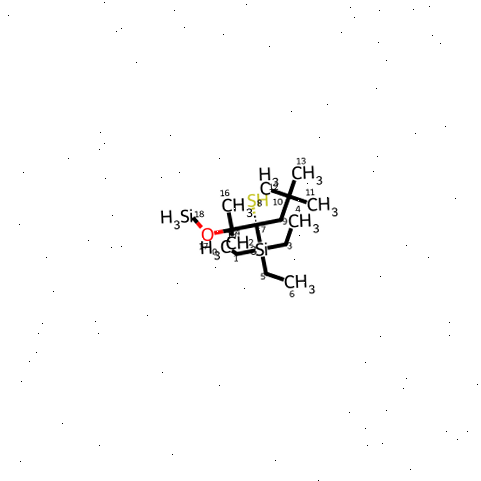 CC[Si](CC)(CC)[C@](S)(CC(C)(C)C)C(C)(C)O[SiH3]